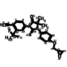 C#Cc1ccc(N2C(=O)C(C)(C)N(c3ccc(OCC4CO4)cc3)C2=S)cc1C(C)(F)F